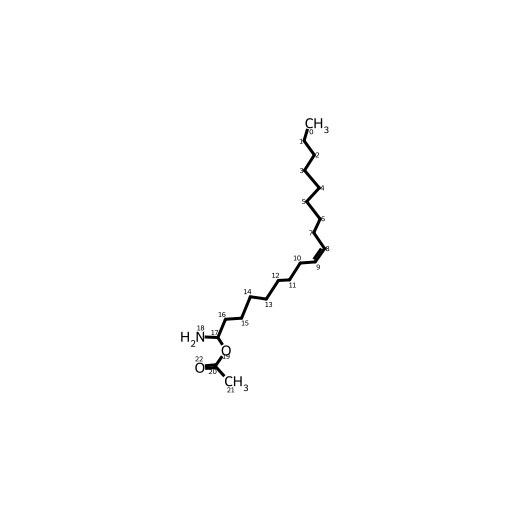 CCCCCCCC/C=C\CCCCCCCC(N)OC(C)=O